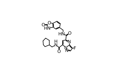 O=C(NCc1ccc2oc(=O)[nH]c2c1)c1cc(C(=O)NCC2CCCCC2)n2ncc(F)c2n1